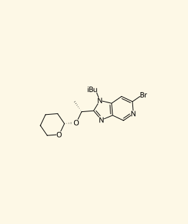 CCC(C)n1c([C@@H](C)O[C@H]2CCCCO2)nc2cnc(Br)cc21